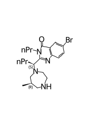 CCC[C@@H](c1nc2ccc(Br)cc2c(=O)n1CCC)N1CCNC[C@@H](C)C1